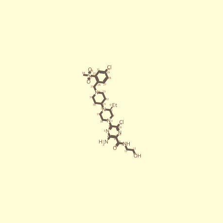 CC[C@H]1CN(c2nc(N)c(C(=O)NCCO)nc2Cl)CCN1C1CCN(Cc2ccc(Cl)cc2S(C)(=O)=O)CC1